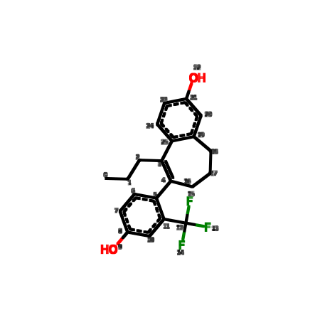 CCCC1=C(c2ccc(O)cc2C(F)(F)F)CCCc2cc(O)ccc21